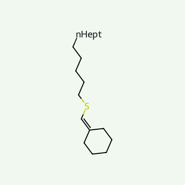 CCCCCCCCCCCCSC=C1CCCCC1